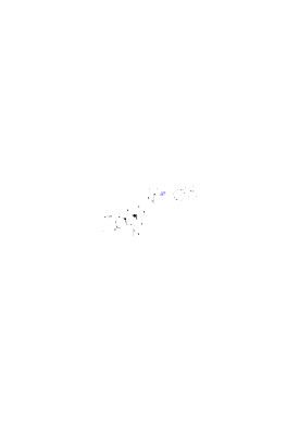 COc1cc2nc(N3CCN(C(=O)/C=C/c4ccc5c(c4)OCO5)CC3)nc(N)c2cc1OC